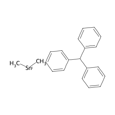 [CH3][Sn][CH3].c1ccc(C(c2ccccc2)c2ccccc2)cc1